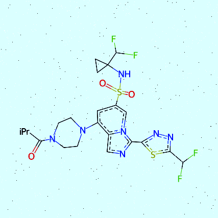 CC(C)C(=O)N1CCN(c2cc(S(=O)(=O)NC3(C(F)F)CC3)cn3c(-c4nnc(C(F)F)s4)ncc23)CC1